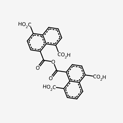 O=C(O)c1ccc(C(=O)OC(=O)c2ccc(C(=O)O)c3cccc(C(=O)O)c23)c2c(C(=O)O)cccc12